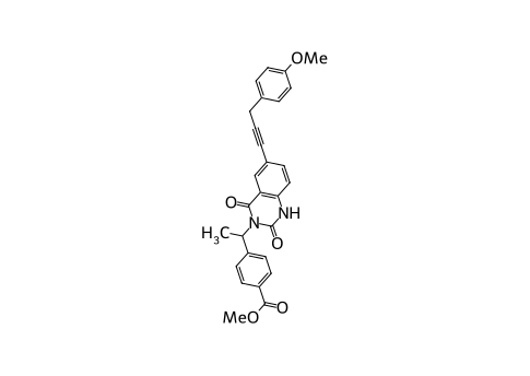 COC(=O)c1ccc(C(C)n2c(=O)[nH]c3ccc(C#CCc4ccc(OC)cc4)cc3c2=O)cc1